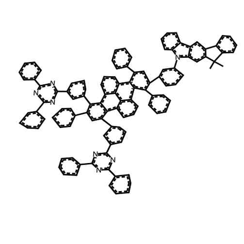 CC1(C)c2ccccc2-c2cc3c4ccccc4n(-c4cccc(-c5cc(-c6ccccc6)c6c7cccc8c9c(-c%10cccc(-c%11nc(-c%12ccccc%12)nc(-c%12ccccc%12)n%11)c%10)c(-c%10ccccc%10)cc(-c%10cccc(-c%11nc(-c%12ccccc%12)nc(-c%12ccccc%12)n%11)c%10)c9c9cccc(c6c5-c5ccccc5)c9c78)c4)c3cc21